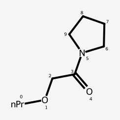 [CH2]CCOCC(=O)N1CCCC1